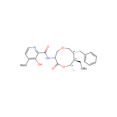 COc1ccnc(C(=O)NC2COC[C@H](Cc3ccccc3)[C@@H](COCC(C)C)[C@H](C)OC2=O)c1O